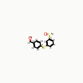 C[S+]([O-])c1cccc(Sc2ccc(C=O)cc2)c1